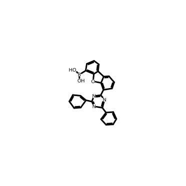 OB(O)c1cccc2c1oc1c(-c3nc(-c4ccccc4)nc(-c4ccccc4)n3)cccc12